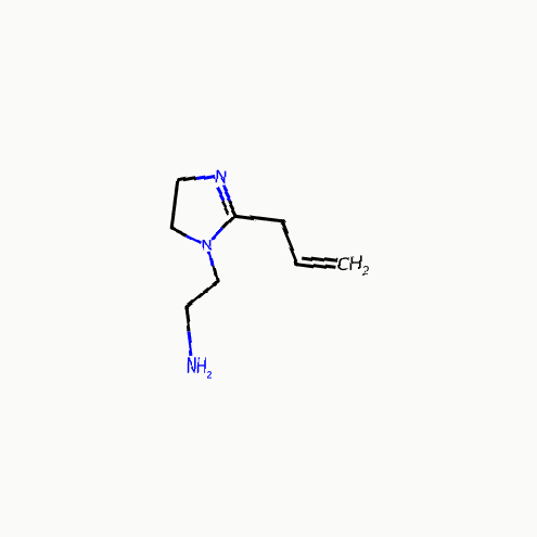 C=CCC1=NCCN1CCN